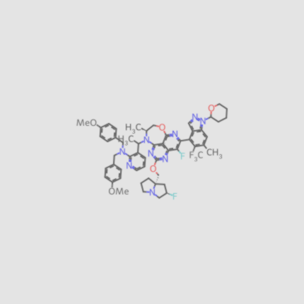 COc1ccc(CN(Cc2ccc(OC)cc2)c2ncccc2C(C)N2c3nc(OC[C@@]45CCCN4C[C@H](F)C5)nc4c(F)c(-c5c(C(F)(F)F)c(C)cc6c5cnn6C5CCCCO5)nc(c34)OC[C@@H]2C)cc1